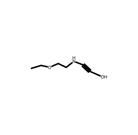 CCOCCNC#CO